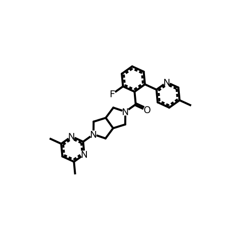 Cc1ccc(-c2cccc(F)c2C(=O)N2CC3CN(c4nc(C)cc(C)n4)CC3C2)nc1